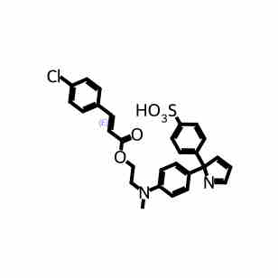 CN(CCOC(=O)/C=C/c1ccc(Cl)cc1)c1ccc(C2(c3ccc(S(=O)(=O)O)cc3)C=CC=N2)cc1